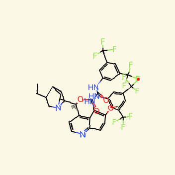 CCC1CN2CCC1CC2[C@H](OC(=O)Nc1cc(C(F)(F)F)cc(C(F)(F)F)c1)c1ccnc2ccc(OC)c(NC(=O)Nc3cc(C(F)(F)F)cc(C(F)(F)F)c3)c12